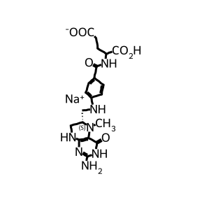 CN1c2c(nc(N)[nH]c2=O)NC[C@@H]1CNc1ccc(C(=O)NC(CCC(=O)[O-])C(=O)O)cc1.[Na+]